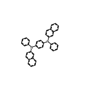 c1ccc(N(c2ccc(N(c3ccccc3)c3ccc4ccccc4c3)cc2)c2ccc3ccccc3c2)cc1